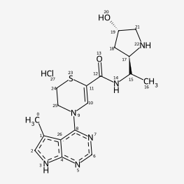 Cc1c[nH]c2ncnc(N3C=C(C(=O)NC(C)[C@H]4C[C@H](O)CN4)SCC3)c12.Cl